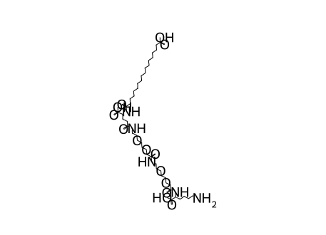 NCCCC[C@H](NC(=O)COCCOCCNC(=O)COCCOCCNC(=O)CC[C@H](NC(=O)CCCCCCCCCCCCCCCCC(=O)O)C(=O)O)C(=O)O